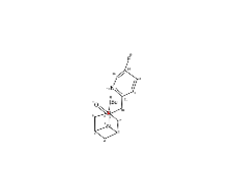 CC(C)(C)N1CC2CC(C1)N2C(=O)Cc1ccc(F)cn1